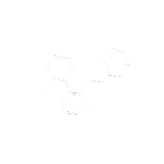 Oc1ccccc1-c1ccccc1CCc1ccccn1